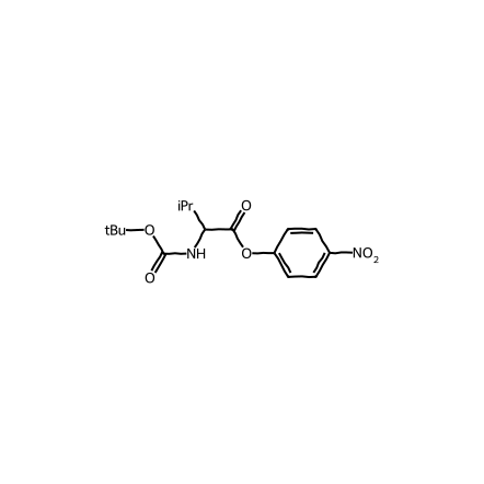 CC(C)C(NC(=O)OC(C)(C)C)C(=O)Oc1ccc([N+](=O)[O-])cc1